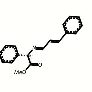 COC(=O)[C@@H](N=CC=Cc1ccccc1)c1ccccc1